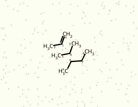 C=CC.CCC.CCCC